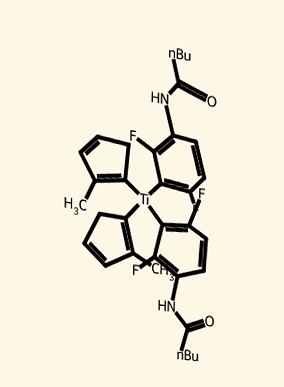 CCCCC(=O)Nc1ccc(F)[c]([Ti]([C]2=C(C)C=CC2)([C]2=C(C)C=CC2)[c]2c(F)ccc(NC(=O)CCCC)c2F)c1F